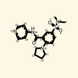 CN(C)S(=O)(=O)c1ccc(N2CCCC2)c(C(=O)Nc2ccncc2)c1